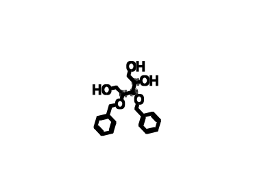 OC[C@@H](O)[C@@H](OCc1ccccc1)[C@H](CO)OCc1ccccc1